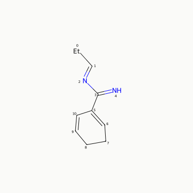 CC/C=N/C(=N)C1=CCCC=C1